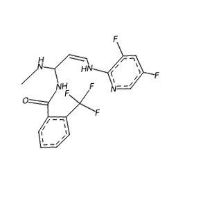 CNC(/C=C\Nc1ncc(F)cc1F)NC(=O)c1ccccc1C(F)(F)F